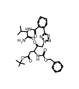 CC(C)C(NC(=O)c1ccccc1-c1nnn(CC(=O)C(CC(=O)OC(C)(C)C)NC(=O)OCc2ccccc2)n1)C(N)=O